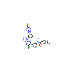 C=CC(=O)Nc1cccc(-c2nc(Nc3cccc(N4CCN(I)CC4)c3)ncc2F)c1